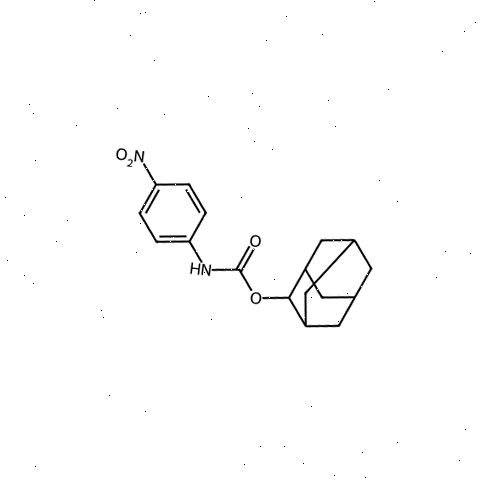 O=C(Nc1ccc([N+](=O)[O-])cc1)OC1C2CC3CC(C2)CC1C3